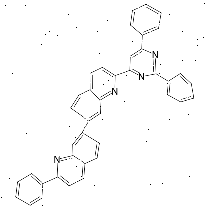 c1ccc(-c2cc(-c3ccc4ccc(-c5ccc6ccc(-c7ccccc7)nc6c5)cc4n3)nc(-c3ccccc3)n2)cc1